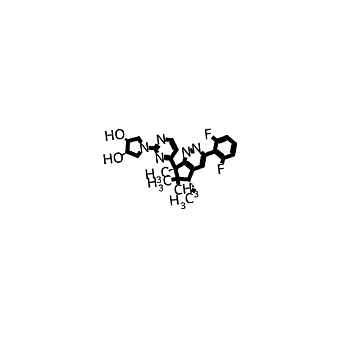 CC[C@H]1c2cc(-c3c(F)cccc3F)nnc2[C@](C)(c2ccnc(N3C[C@H](O)[C@@H](O)C3)n2)C1(C)C